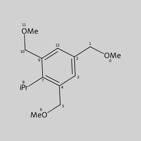 COCc1cc(COC)c(C(C)C)c(COC)c1